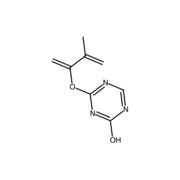 C=C(C)C(=C)Oc1ncnc(O)n1